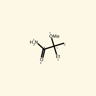 [CH2]C(CC)(OC)C(N)=O